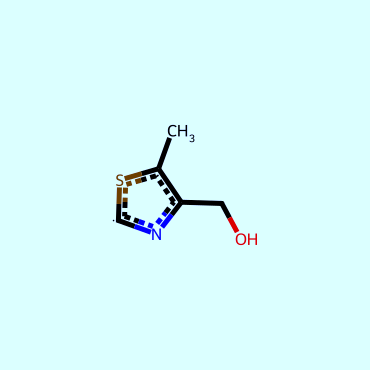 Cc1s[c]nc1CO